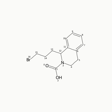 O=C(O)N1CCc2ccccc2C1CCCBr